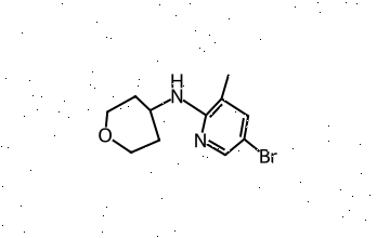 Cc1cc(Br)cnc1NC1CCOCC1